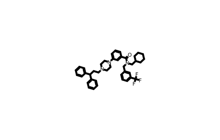 O=C(c1cccc(N2CCN(CCC(c3ccccc3)c3ccccc3)CC2)c1)N(Cc1cccc(C(F)(F)F)c1)CC1CCCCC1